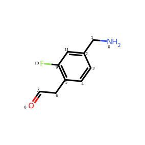 NCc1ccc(C[C]=O)c(F)c1